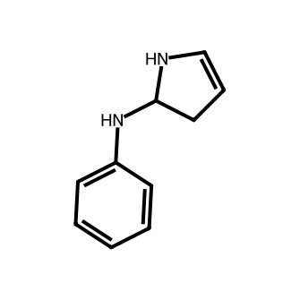 C1=CNC(Nc2ccccc2)C1